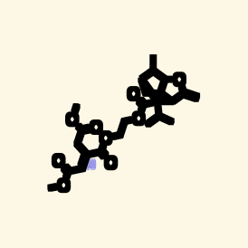 C=C1OC2C(C)C3CC2C1C3(C(=O)OCCOC(=O)/C(=C/C(=O)OC)CC(=O)OC)C(C)C